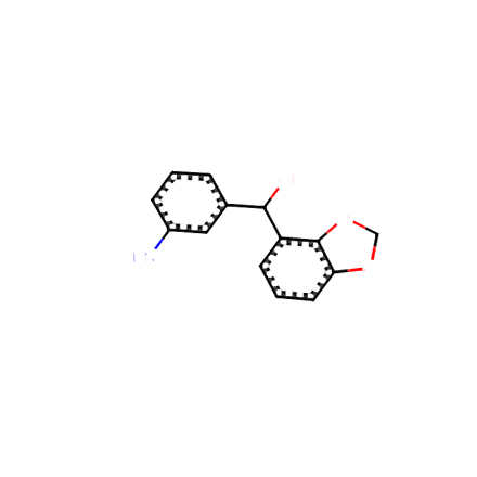 Nc1cccc(C(O)c2cccc3c2OCO3)c1